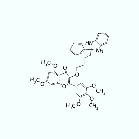 COc1cc(OC)c2c(=O)c(OCCCCC3(c4ccccc4)Nc4ccccc4N3)c(-c3cc(OC)c(OC)c(OC)c3)oc2c1